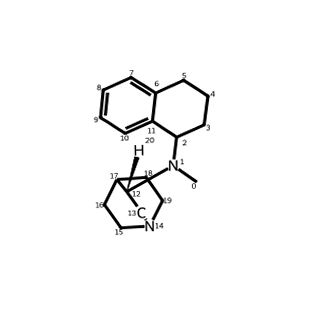 CN(C1CCCc2ccccc21)[C@@H]1CN2CCC1CC2